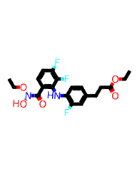 CCOC(=O)CCc1ccc(Nc2c(C(=O)N(O)OCC)ccc(F)c2F)c(F)c1